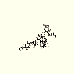 CCC(=O)NC(Cc1nc(C)c(-c2ccc(Cl)cc2)s1)C(=O)NC(CN)Cc1ccccc1